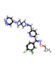 CCON=C(c1ccc(F)c(F)c1)c1ccc(CN2CC3(C2)CN(c2ccnnc2)C3)cn1